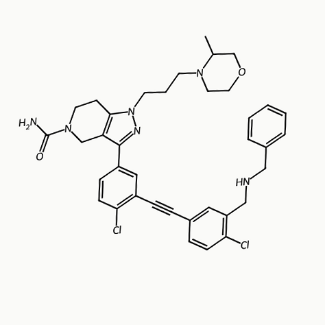 CC1COCCN1CCCn1nc(-c2ccc(Cl)c(C#Cc3ccc(Cl)c(CNCc4ccccc4)c3)c2)c2c1CCN(C(N)=O)C2